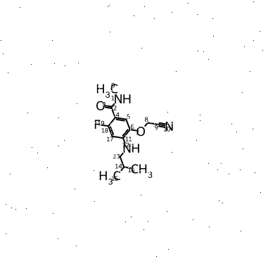 CNC(=O)c1cc(OCC#N)c(NCC(C)C)cc1F